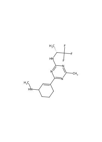 CNC1C=C(c2nc(C)nc(N[C@H](C)C(F)(F)F)n2)CCC1